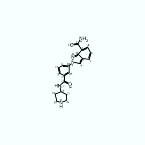 NC(=O)c1cccc2cn(-c3cccc(C(=O)NC4CCNCC4)c3)nc12